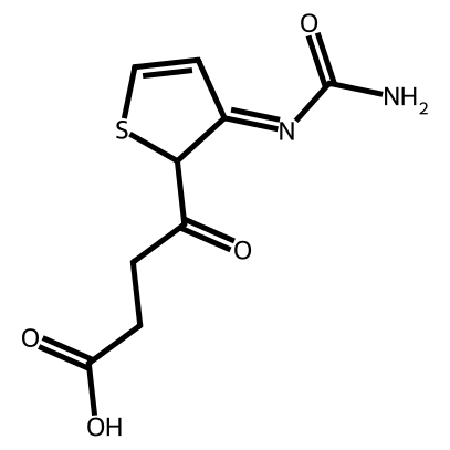 NC(=O)N=C1C=CSC1C(=O)CCC(=O)O